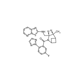 C[C@@H]1C2CC(C2)N(C(=O)c2cc(F)ccc2-n2nccn2)[C@@H]1CNc1nc2cccnc2s1